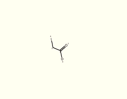 [O]C(=O)CI